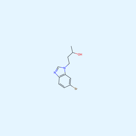 CC(O)CCn1cnc2ccc(Br)cc21